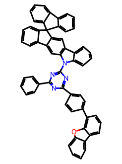 c1ccc(-c2nc(-c3ccc(-c4cccc5c4oc4ccccc45)cc3)nc(-n3c4ccccc4c4cc5c(cc43)-c3ccccc3C53c4ccccc4-c4ccccc43)n2)cc1